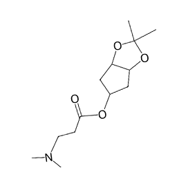 CN(C)CCC(=O)OC1CC2OC(C)(C)OC2C1